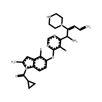 C=C/C=C(\C(N)c1ncnc(Oc2ccc3c(cc(C)n3C(=O)C3CC3)c2F)c1F)N1CCNCC1